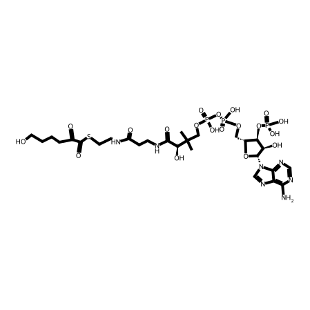 CC(C)(COP(=O)(O)OP(=O)(O)OC[C@H]1O[C@@H](n2cnc3c(N)ncnc32)[C@H](O)[C@@H]1OP(=O)(O)O)[C@@H](O)C(=O)NCCC(=O)NCCSC(=O)C(=O)CCCCO